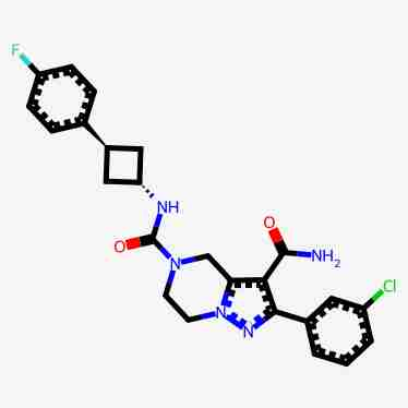 NC(=O)c1c(-c2cccc(Cl)c2)nn2c1CN(C(=O)N[C@H]1C[C@H](c3ccc(F)cc3)C1)CC2